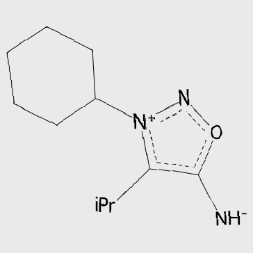 CC(C)c1c([NH-])on[n+]1C1CCCCC1